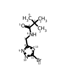 CC(C)(C)C(=O)NCc1nnc(Br)s1